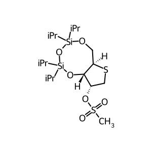 CC(C)[Si]1(C(C)C)OC[C@H]2SC[C@H](OS(C)(=O)=O)[C@@H]2O[Si](C(C)C)(C(C)C)O1